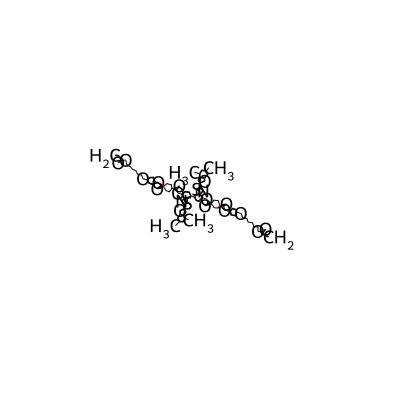 C=CC(=O)OCCCCCCOc1ccc(OC(=O)C2CCC(C(=O)Oc3ccc(-c4ccc(OC(=O)C5CCC(C(=O)Oc6ccc(OCCCCCCOC(=O)C=C)cc6)CC5)c5nc(-c6cc7c(C)cc(C)cc7o6)sc45)c4sc(-c5cc6c(C)cc(C)cc6o5)nc34)CC2)cc1